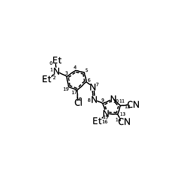 CCN(CC)c1ccc(N=Nc2nc(C#N)c(C#N)n2CC)c(Cl)c1